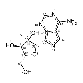 C[C@@]1(O)[C@H](O)[C@@H](CO)O[C@H]1c1ncc2c(N)ncnn12